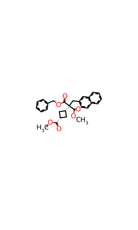 COC(=O)C(Cc1ccc2ccccc2c1)(C(=O)OCc1ccccc1)[C@H]1C[C@@H](C(=O)OC)C1